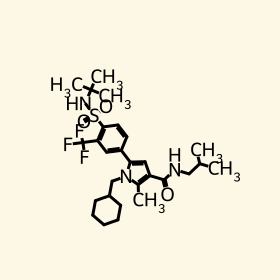 Cc1c(C(=O)NCC(C)C)cc(-c2ccc(S(=O)(=O)NC(C)(C)C)c(C(F)(F)F)c2)n1CC1CCCCC1